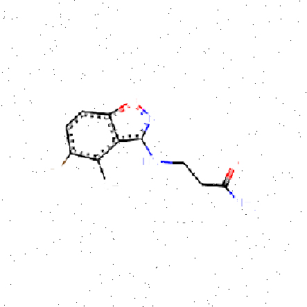 Cc1c(Br)ccc2onc(NCCC(N)=O)c12